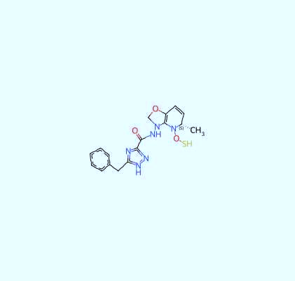 C[C@H]1C=CC2=C(N(NC(=O)c3n[nH]c(Cc4ccccc4)n3)CO2)N1OS